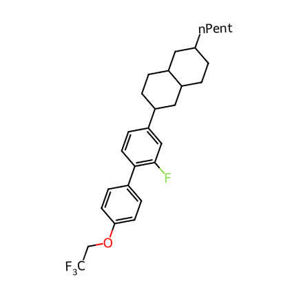 CCCCCC1CCC2CC(c3ccc(-c4ccc(OCC(F)(F)F)cc4)c(F)c3)CCC2C1